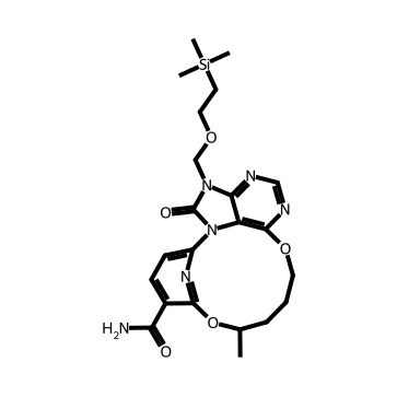 CC1CCCOc2ncnc3c2n(c(=O)n3COCC[Si](C)(C)C)-c2ccc(C(N)=O)c(n2)O1